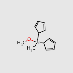 C[O][Zr]([CH3])([CH]1C=CC=C1)[CH]1C=CC=C1